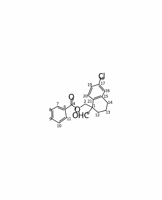 O=CC1(COC(=O)c2ccccc2)CCCc2cc(Cl)ccc21